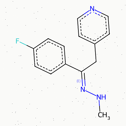 CN/N=C(\Cc1ccncc1)c1ccc(F)cc1